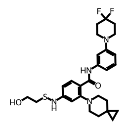 O=C(Nc1cccc(N2CCC(F)(F)CC2)c1)c1ccc(NSCCO)cc1N1CCC2(CC1)CC2